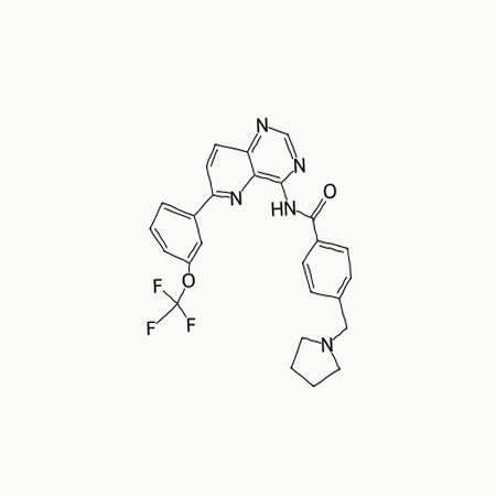 O=C(Nc1ncnc2ccc(-c3cccc(OC(F)(F)F)c3)nc12)c1ccc(CN2CCCC2)cc1